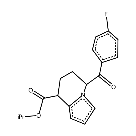 CC(C)OC(=O)C1CCC(C(=O)c2ccc(F)cc2)n2cccc21